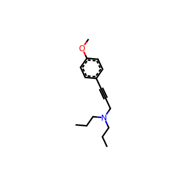 CCCN(CC#Cc1ccc(OC)cc1)CCC